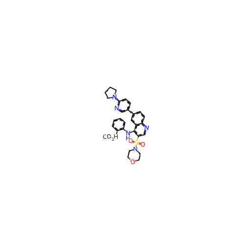 O=C(O)c1ccccc1Nc1c(S(=O)(=O)N2CCOCC2)cnc2ccc(-c3ccc(N4CCCC4)nc3)cc12